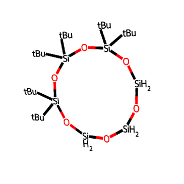 CC(C)(C)[Si]1(C(C)(C)C)O[SiH2]O[SiH2]O[SiH2]O[Si](C(C)(C)C)(C(C)(C)C)O[Si](C(C)(C)C)(C(C)(C)C)O1